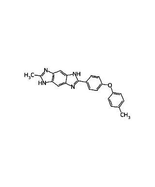 Cc1ccc(Oc2ccc(-c3nc4cc5[nH]c(C)nc5cc4[nH]3)cc2)cc1